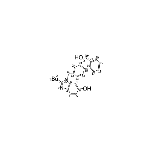 CCCCc1nc2ccc(O)cc2n1Cc1ccc(-c2ccccc2C(=O)O)cc1